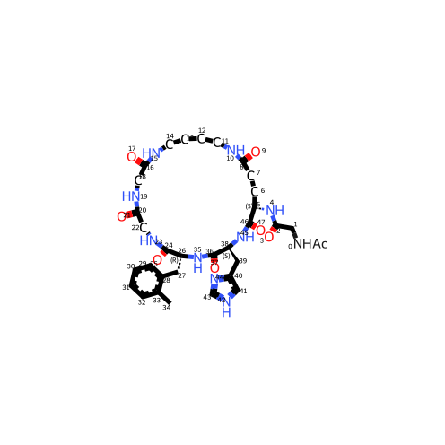 CC(=O)NCC(=O)N[C@H]1CCC(=O)NCCCCNC(=O)CNC(=O)CNC(=O)[C@@H](Cc2ccccc2C)NC(=O)[C@H](Cc2c[nH]cn2)NC1=O